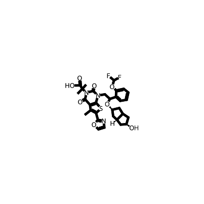 Cc1c(-c2ncco2)sc2c1c(=O)n(C(C)(C)C(=O)O)c(=O)n2CC(O[C@H]1CC2C[C@@H](O)C[C@H]2C1)c1ccccc1OC(F)F